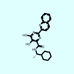 C[C@H](NC(=O)c1nc(-c2ccc3ccccc3n2)nc(O)c1O)C1CCCCC1